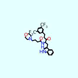 O=C(CCCN1CCOCC1)NC(Cc1c[nH]c2ccccc12)C(=O)CCc1cc(C(F)(F)F)cc(C(F)(F)F)c1